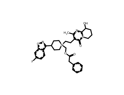 Cc1nc2n(c(=O)c1CC[N+]1(COC(=O)Cc3ccccc3)CCC(c3noc4cc(F)ccc34)CC1)CCCC2O